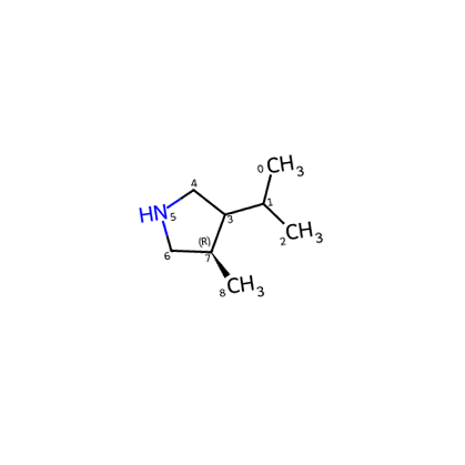 CC(C)C1CNC[C@@H]1C